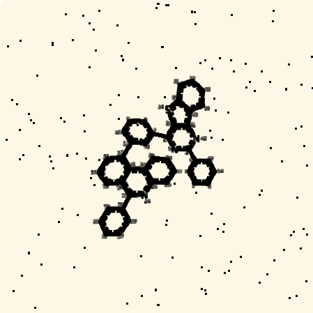 c1ccc(-c2nc(-c3cccc(-c4cccc5c(-c6ccccc6)nc6ccccc6c45)c3)c3sc4ccccc4c3n2)cc1